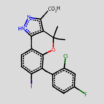 CC1(C)Oc2c(ccc(I)c2-c2ccc(F)cc2Cl)-c2[nH]nc(C(=O)O)c21